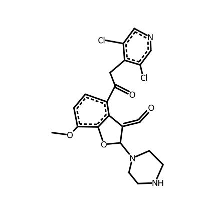 COc1ccc(C(=O)Cc2c(Cl)cncc2Cl)c2c1OC(N1CCNCC1)C2=C=O